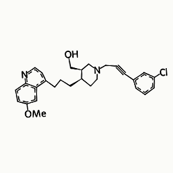 COc1ccc2nccc(CCC[C@@H]3CCN(CC#Cc4cccc(Cl)c4)C[C@@H]3CO)c2c1